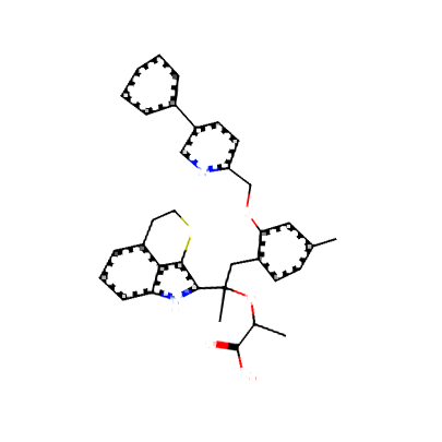 Cc1ccc(CC(C)(OC(C)C(=O)O)c2[nH]c3cccc4c3c2SCC4)c(OCc2ccc(-c3ccccc3)cn2)c1